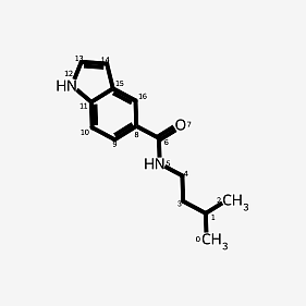 CC(C)CCNC(=O)c1ccc2[nH]ccc2c1